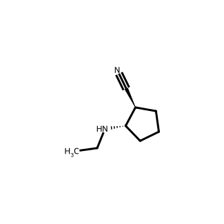 CCN[C@H]1CCC[C@@H]1C#N